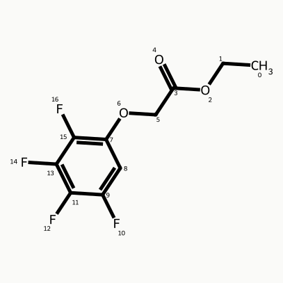 CCOC(=O)COc1cc(F)c(F)c(F)c1F